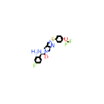 NC(C(=O)N1Cc2cn(Sc3ccc(OC(F)F)cc3)nc2C1)c1ccc(F)cc1